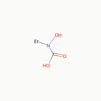 CCN(O)C(=O)O